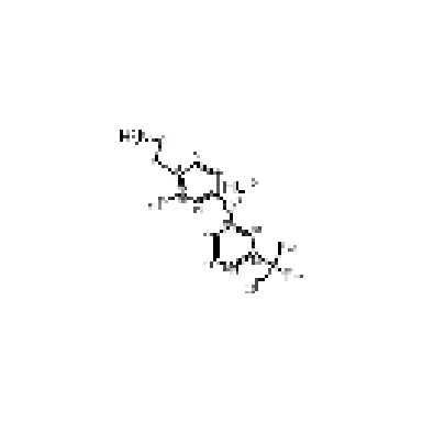 Cl.NCCc1ccc(Oc2ccnc(C(F)(F)F)c2)cc1F